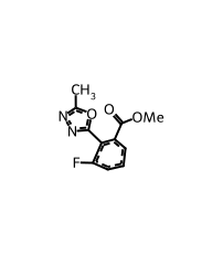 COC(=O)c1cccc(F)c1-c1nnc(C)o1